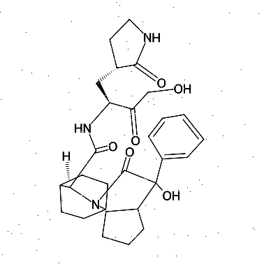 O=C1NCC[C@H]1C[C@H](NC(=O)[C@@H]1C2CCC(CC2)N1C(=O)C(O)(c1ccccc1)C1CCCC1)C(=O)CO